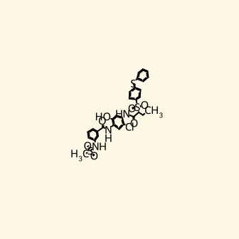 CCC(C(=O)Nc1cc(O)c(NC(=O)c2cccc(NS(C)(=O)=O)c2)cc1Cl)S(=O)(=O)c1ccc(Sc2ccccc2)cc1